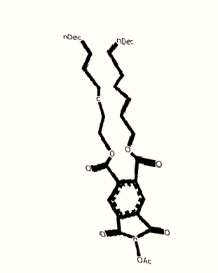 CCCCCCCCCCCCCCCCOC(=O)c1cc2c(cc1C(=O)OCCCCCCCCCCCCCCCC)C(=O)N(OC(C)=O)C2=O